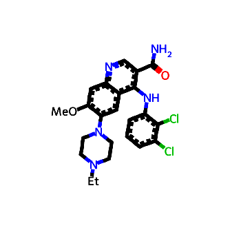 CCN1CCN(c2cc3c(Nc4cccc(Cl)c4Cl)c(C(N)=O)cnc3cc2OC)CC1